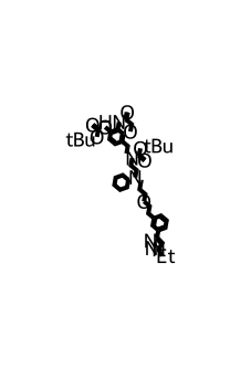 CCn1cc(-c2cccc(CCOCCCN(CCN(CCc3ccc(OC(=O)OC(C)(C)C)c4c3OCC(=O)N4)C(=O)OC(C)(C)C)C3CCCCC3)c2)nn1